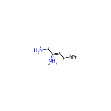 CCCCC=C(N)CN